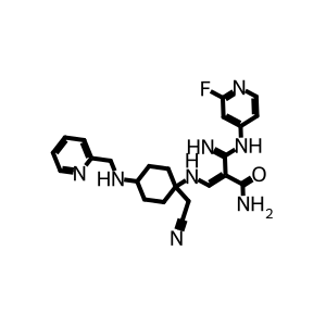 N#CCC1(N/C=C(\C(=N)Nc2ccnc(F)c2)C(N)=O)CCC(NCc2ccccn2)CC1